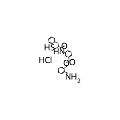 Cl.NCc1ccccc1COC(=O)c1cccc(NC(=O)C(CS)Cc2ccccc2)c1